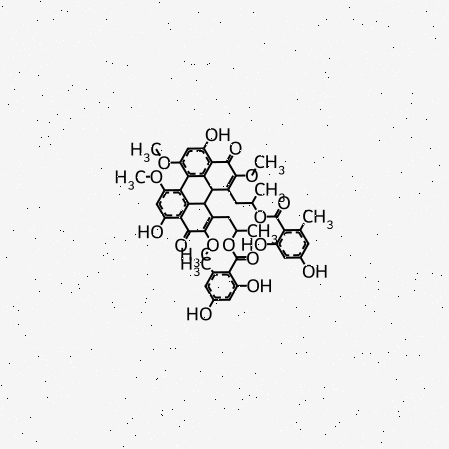 COC1=C(CC(C)OC(=O)c2c(C)cc(O)cc2O)C2c3c(c(O)cc(OC)c3-c3c(OC)cc(O)c4c3C2C(CC(C)OC(=O)c2c(C)cc(O)cc2O)=C(OC)C4=O)C1=O